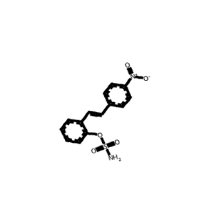 NS(=O)(=O)Oc1ccccc1C=Cc1ccc([N+](=O)[O-])cc1